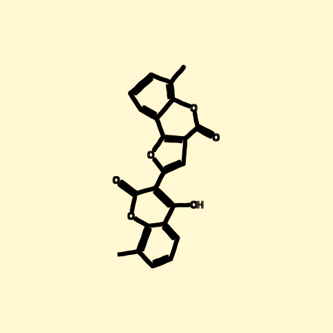 Cc1cccc2c(O)c(-c3cc4c(=O)oc5c(C)cccc5c4o3)c(=O)oc12